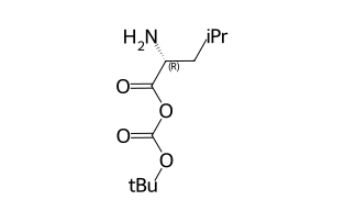 CC(C)C[C@@H](N)C(=O)OC(=O)OC(C)(C)C